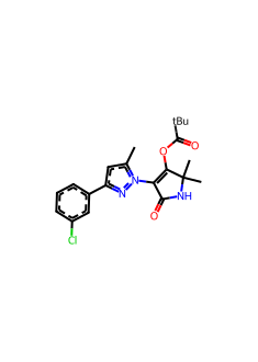 Cc1cc(-c2cccc(Cl)c2)nn1C1=C(OC(=O)C(C)(C)C)C(C)(C)NC1=O